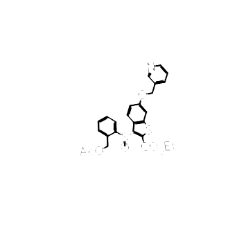 CCOC(=O)c1sc2cc(OCc3cccnc3)ccc2c1[S+]([O-])c1ccccc1COC(C)=O